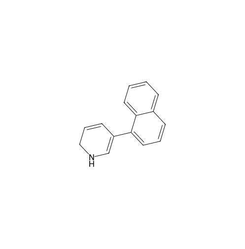 C1=CC(c2cccc3ccccc23)=CNC1